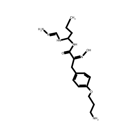 CCCC(NC=NN)NC(=O)C(Cc1ccc(OCCCN)cc1)=NO